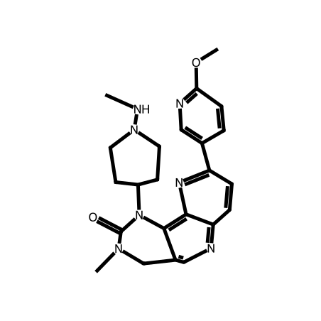 CNN1CCC(N2C(=O)N(C)Cc3cnc4ccc(-c5ccc(OC)nc5)nc4c32)CC1